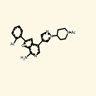 CC(=O)c1ccccc1-c1cc2c(-c3cnn(C4CCN(C(C)=O)CC4)c3)cnc(N)c2o1